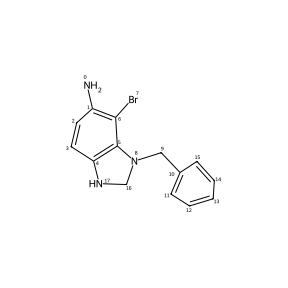 Nc1ccc2c(c1Br)N(Cc1ccccc1)CN2